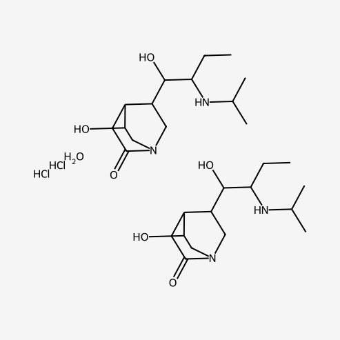 CCC(NC(C)C)C(O)C1CN2CC(O)C1CC2=O.CCC(NC(C)C)C(O)C1CN2CC(O)C1CC2=O.Cl.Cl.O